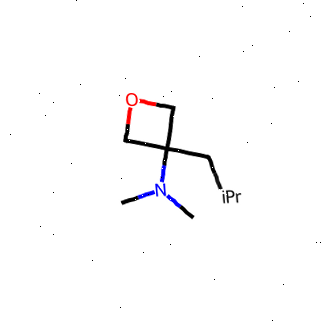 CC(C)CC1(N(C)C)COC1